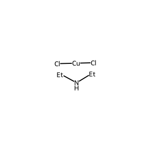 CCNCC.[Cl][Cu][Cl]